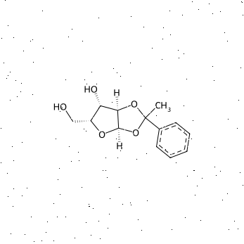 CC1(c2ccccc2)O[C@H]2O[C@H](CO)[C@H](O)[C@H]2O1